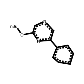 CCCCOc1cn[c]c(-c2ccccc2)n1